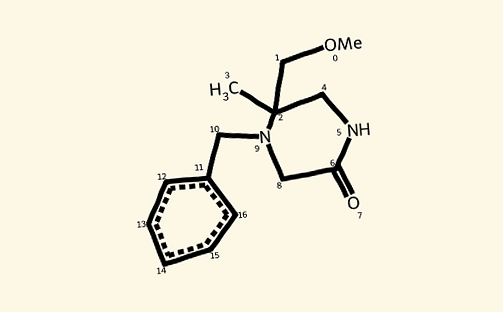 COCC1(C)CNC(=O)CN1Cc1ccccc1